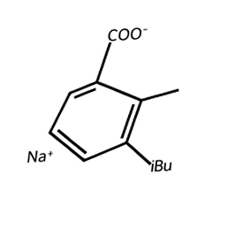 CCC(C)c1cccc(C(=O)[O-])c1C.[Na+]